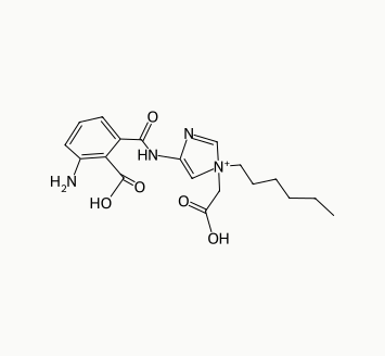 CCCCCC[N+]1(CC(=O)O)C=NC(NC(=O)c2cccc(N)c2C(=O)O)=C1